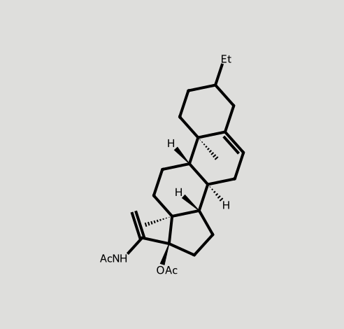 C=C(NC(C)=O)[C@@]1(OC(C)=O)CC[C@H]2[C@@H]3CC=C4CC(CC)CC[C@]4(C)[C@H]3CC[C@@]21C